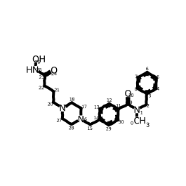 CN(Cc1ccccc1)C(=O)c1ccc(CN2CCN(CCCC(=O)NO)CC2)cc1